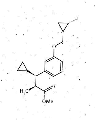 COC(=O)[C@@H](C)[C@H](c1cccc(OCC2C[C@@H]2I)c1)C1CC1